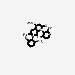 COc1cc(=O)n(-c2c(C)ccnc2C(C)C)c2c(=O)n(-c3c(F)cccc3[N+](=O)[O-])c(C(F)(F)F)cc12